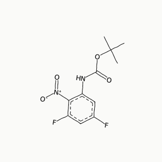 CC(C)(C)OC(=O)Nc1cc(F)cc(F)c1[N+](=O)[O-]